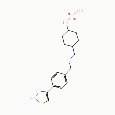 CC(C)(C)S(=O)(=O)NC1CCC(CNCc2ccc(C3=CSNN3)cc2)CC1